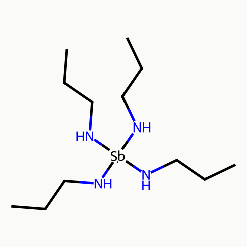 CCC[NH][Sb]([NH]CCC)([NH]CCC)[NH]CCC